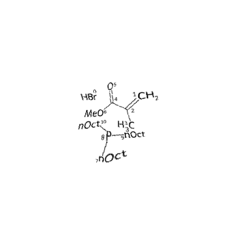 Br.C=C(C)C(=O)OC.CCCCCCCCP(CCCCCCCC)CCCCCCCC